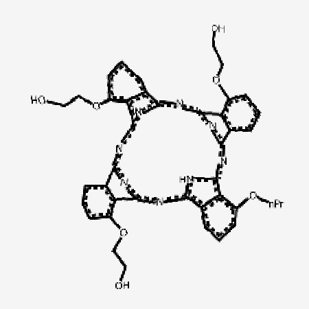 CCCOc1cccc2c3nc4nc(nc5[nH]c(nc6nc(nc([nH]3)c12)-c1cccc(OCCO)c1-6)c1cccc(OCCO)c51)-c1cccc(OCCO)c1-4